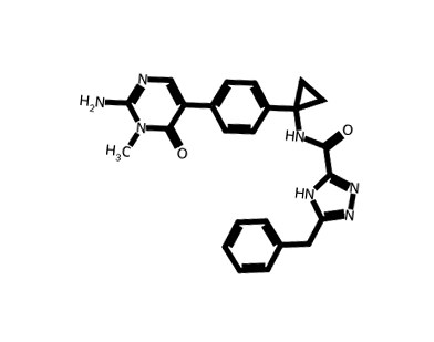 Cn1c(N)ncc(-c2ccc(C3(NC(=O)c4nnc(Cc5ccccc5)[nH]4)CC3)cc2)c1=O